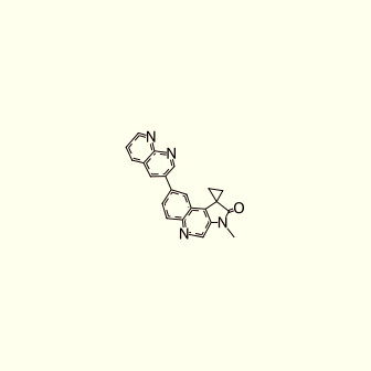 CN1C(=O)C2(CC2)c2c1cnc1ccc(-c3cnc4ncccc4c3)cc21